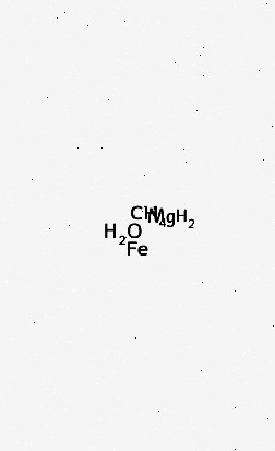 C.O.[Fe].[MgH2]